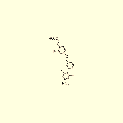 Cc1cc([N+](=O)[O-])cc(C)c1-c1cccc(COc2ccc(CCC(=O)O)c(F)c2)c1